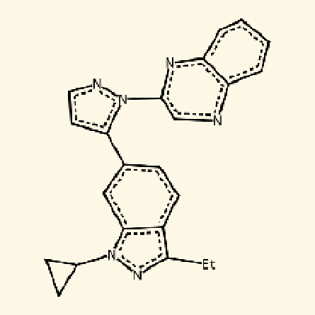 CCc1nn(C2CC2)c2cc(-c3ccnn3-c3cnc4ccccc4n3)ccc12